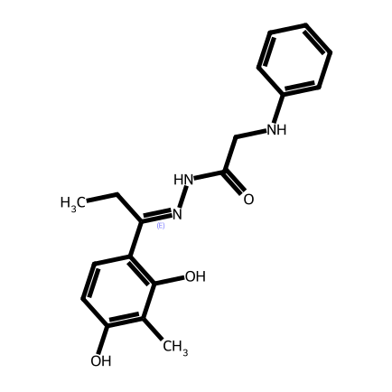 CC/C(=N\NC(=O)CNc1ccccc1)c1ccc(O)c(C)c1O